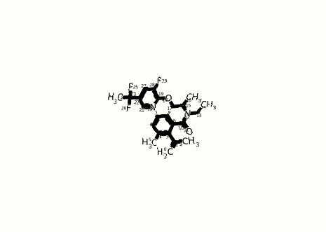 C=C(C)c1c(C)cccc1C(=O)N(CC)C(C)COc1ncc(C(C)(F)F)cc1F